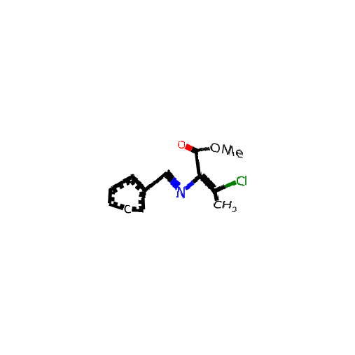 COC(=O)/C(N=Cc1ccccc1)=C(/C)Cl